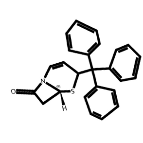 O=C1C[C@H]2SC(C(c3ccccc3)(c3ccccc3)c3ccccc3)C=CN12